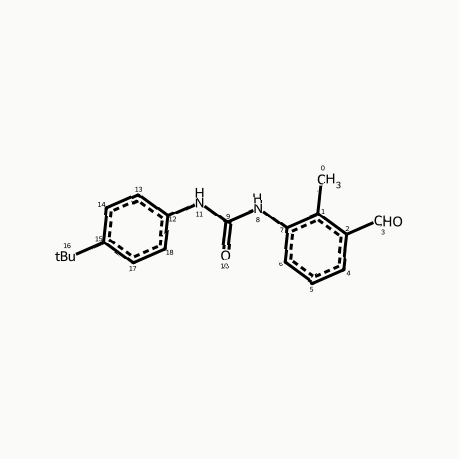 Cc1c(C=O)cccc1NC(=O)Nc1ccc(C(C)(C)C)cc1